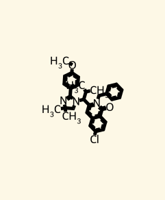 COc1ccc(C2=NC(C)(C)CN2C(c2cc3cc(Cl)ccc3c(=O)n2Cc2ccccc2)C(C)C)cc1